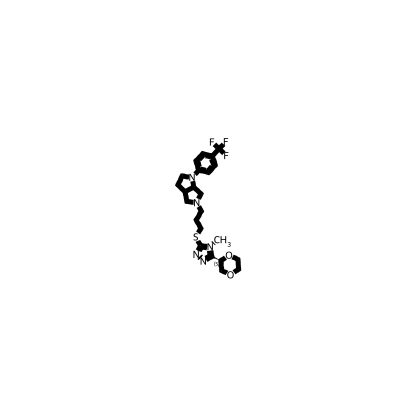 Cn1c(SCCCN2CC3CCN(c4ccc(C(F)(F)F)cc4)C3C2)nnc1[C@H]1COCCO1